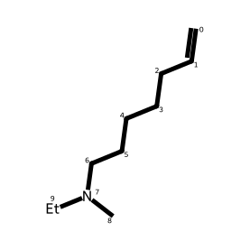 C=CCCCCCN(C)CC